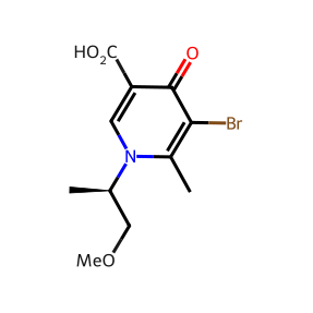 COC[C@@H](C)n1cc(C(=O)O)c(=O)c(Br)c1C